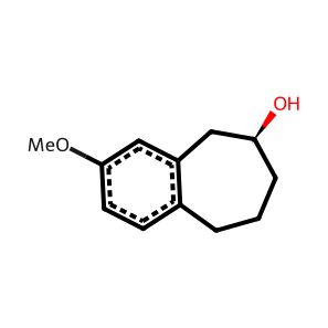 COc1ccc2c(c1)C[C@@H](O)CCC2